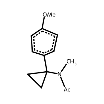 COc1ccc(C2(N(C)C(C)=O)CC2)cc1